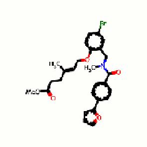 COC(=O)CC/C(C)=C/COc1ccc(Br)cc1CN(C)C(=O)c1ccc(-c2ccco2)cc1